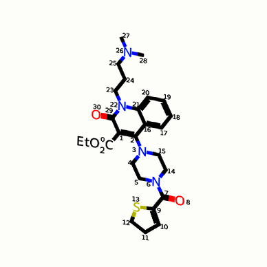 CCOC(=O)c1c(N2CCN(C(=O)C3=CCCS3)CC2)c2ccccc2n(CCCN(C)C)c1=O